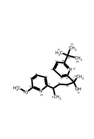 COc1cccc(C(C)CCC(C)(O)c2cccc(C(C)(C)C)n2)n1